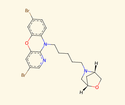 Brc1ccc2c(c1)Oc1cc(Br)cnc1N2CCCCCN1C[C@@H]2C[C@H]1CO2